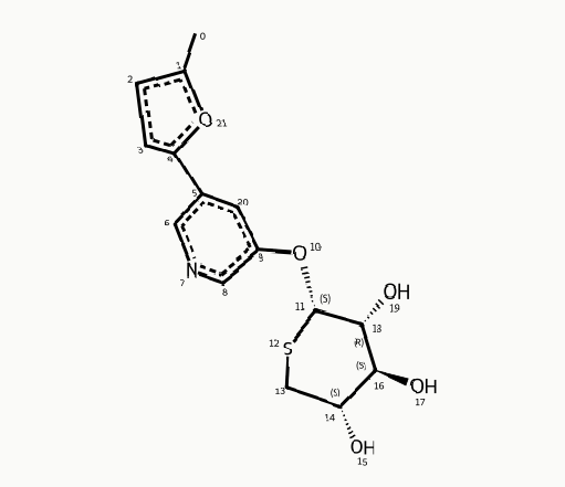 Cc1ccc(-c2cncc(O[C@H]3SC[C@@H](O)[C@H](O)[C@H]3O)c2)o1